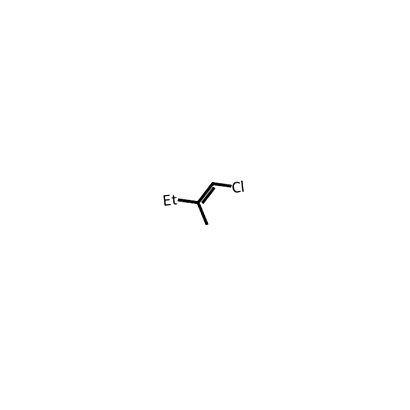 CCC(C)=CCl